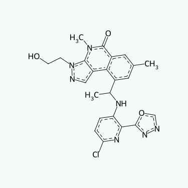 Cc1cc(C(C)Nc2ccc(Cl)nc2-c2nnco2)c2c(c1)c(=O)n(C)c1c2cnn1CCO